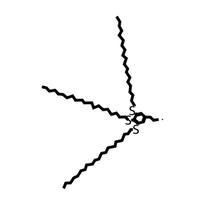 [CH2]CCc1cc(SCCCCCCCCCCCCCCCCCCCC)c(SCCCCCCCCCCCCCCCCCCCC)c(SCCCCCCCCCCCCCCCCCCCC)c1